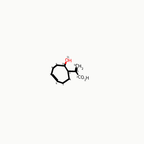 C=C(C(=O)O)C1CCC=CCCC1O